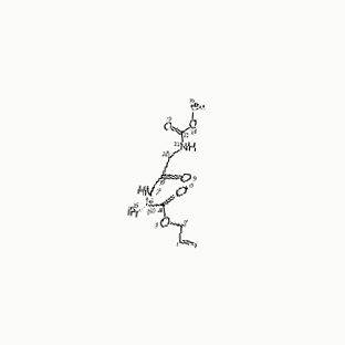 C=CCOC(=O)[C@@H](NC(=O)CNC(=O)OC(C)(C)C)C(C)C